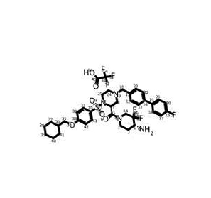 N[C@@H]1CCN(C(=O)[C@@H]2CN(Cc3ccc(-c4ccc(F)cc4)cc3)CCN2S(=O)(=O)c2ccc(OCC3CCCCC3)cc2)CC1(F)F.O=C(O)C(F)(F)F